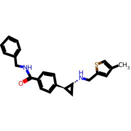 Cc1csc(CN[C@@H]2C[C@H]2c2ccc(C(=O)NCc3ccccc3)cc2)c1